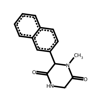 CN1C(=O)[CH]NC(=O)C1c1ccc2ccccc2c1